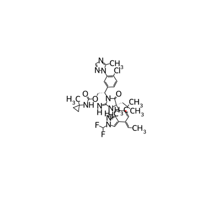 C=C(/C=C\C(=C/C)c1cnn(C(F)F)c1)[C@@]1(CC(C)(C)C)NC(=N)N([C@H](COC(=O)NC2(C)CC2)c2ccc(Cl)c(-n3ncnc3C)c2)C1=O